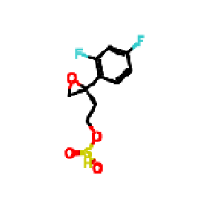 O=[SH](=O)OCC[C@@]1(c2ccc(F)cc2F)CO1